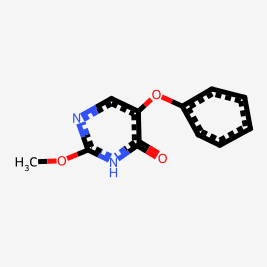 COc1ncc(Oc2ccccc2)c(=O)[nH]1